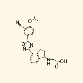 CC(C)Oc1ccc(-c2nc(-c3cccc4c3CCC4NCC(=O)O)no2)cc1C#N